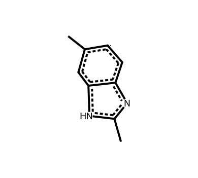 Cc1[c]cc2nc(C)[nH]c2c1